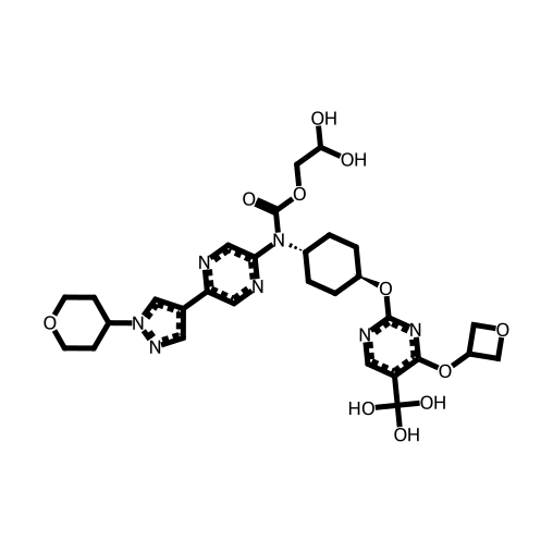 O=C(OCC(O)O)N(c1cnc(-c2cnn(C3CCOCC3)c2)cn1)[C@H]1CC[C@H](Oc2ncc(C(O)(O)O)c(OC3COC3)n2)CC1